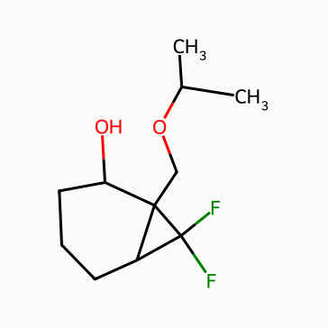 CC(C)OCC12C(O)CCCC1C2(F)F